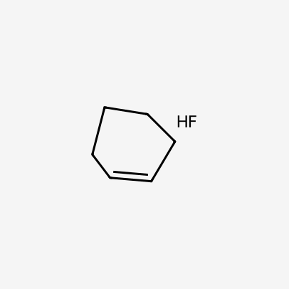 C1=CCCCC1.F